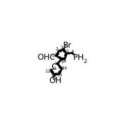 O=Cc1cc(Br)c(CP)cc1-c1ccc(O)cc1